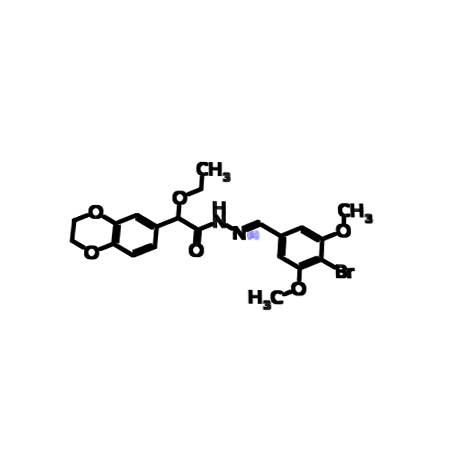 CCOC(C(=O)N/N=C/c1cc(OC)c(Br)c(OC)c1)c1ccc2c(c1)OCCO2